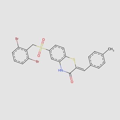 Cc1ccc(C=C2Sc3ccc(S(=O)(=O)Cc4c(Br)cccc4Br)cc3NC2=O)cc1